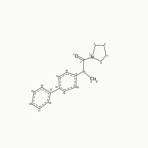 CC(C(=O)N1CCCC1)c1ccc(-c2ccccc2)cc1